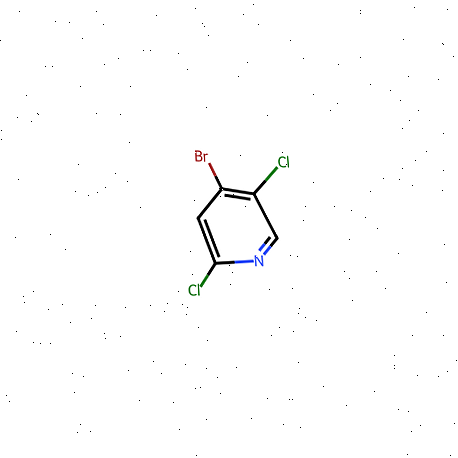 Clc1cc(Br)c(Cl)cn1